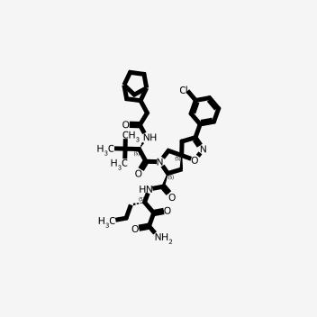 CCC[C@H](NC(=O)[C@@H]1C[C@]2(CC(c3cccc(Cl)c3)=NO2)CN1C(=O)[C@@H](NC(=O)CC1CC2CCC1C2)C(C)(C)C)C(=O)C(N)=O